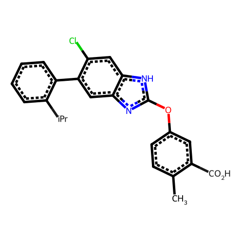 Cc1ccc(Oc2nc3cc(-c4ccccc4C(C)C)c(Cl)cc3[nH]2)cc1C(=O)O